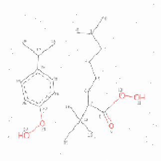 CC(C)CCCCC(C(=O)OO)C(C)(C)C.CC(C)c1ccc(OO)cc1